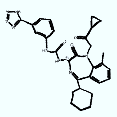 Cc1cccc2c1N(CC(=O)C1CC1)C(=O)[C@H](NC(=O)Nc1cccc(-c3nnn[nH]3)c1)N=C2C1CCCCC1